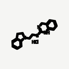 Cl.c1ccc2c(c1)CN=C(SCCN1CCc3ccccc31)N2